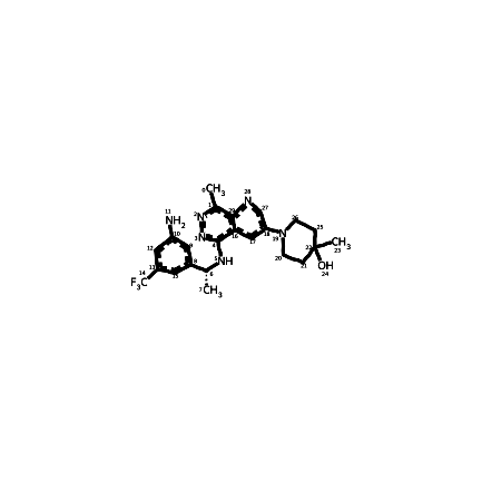 Cc1nnc(N[C@H](C)c2cc(N)cc(C(F)(F)F)c2)c2cc(N3CCC(C)(O)CC3)cnc12